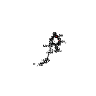 CCC(=O)N[C@H](C(=O)NCC(=O)N[C@H]1C[S+]([O-])c2[nH]c3c(CSCCCCNC(=O)CCCCCNC(=O)C4CCC(CNC(=O)CC(C)C(=O)O)CC4)c(OC)ccc3c2C[C@@H](C(N)=O)NC(=O)[C@H]([C@@H](C)[C@@H](O)CO)NC(=O)[C@@H]2C[C@@H](O)CN2C(=O)[C@H](CC(N)=O)NC1=O)[C@@H](C)CC